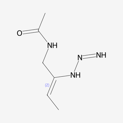 C/C=C(/CNC(C)=O)NN=N